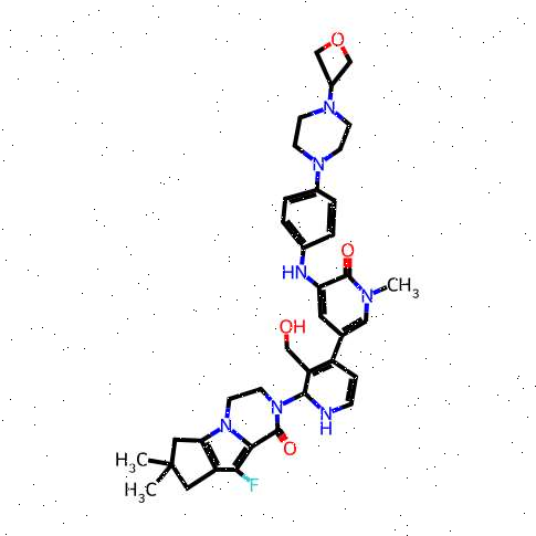 Cn1cc(C2=C(CO)C(N3CCn4c5c(c(F)c4C3=O)CC(C)(C)C5)NC=C2)cc(Nc2ccc(N3CCN(C4COC4)CC3)cc2)c1=O